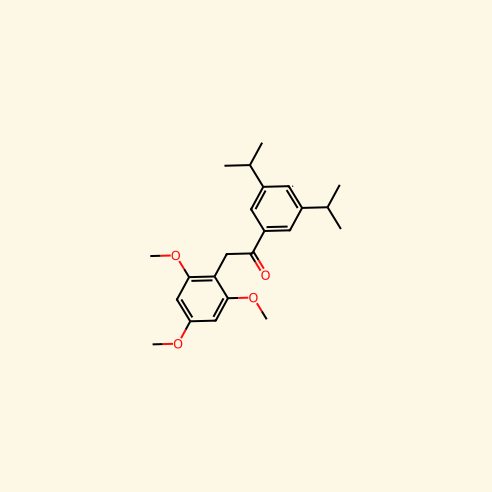 COc1cc(OC)c(CC(=O)c2cc(C(C)C)[c]c(C(C)C)c2)c(OC)c1